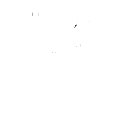 NC(=S)C[C@H](NC(=O)OCC1c2ccccc2-c2ccccc21)C(=O)O